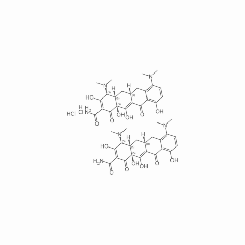 CN(C)c1ccc(O)c2c1C[C@H]1C[C@H]3[C@H](N(C)C)C(O)=C(C(N)=O)C(=O)[C@@]3(O)C(O)=C1C2=O.CN(C)c1ccc(O)c2c1C[C@H]1C[C@H]3[C@H](N(C)C)C(O)=C(C(N)=O)C(=O)[C@@]3(O)C(O)=C1C2=O.Cl.Cl